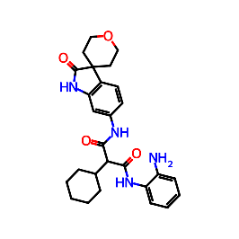 Nc1ccccc1NC(=O)C(C(=O)Nc1ccc2c(c1)NC(=O)C21CCOCC1)C1CCCCC1